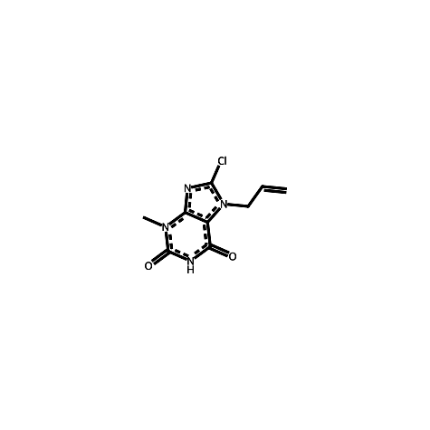 C=CCn1c(Cl)nc2c1c(=O)[nH]c(=O)n2C